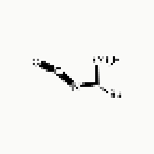 CCC(C)[C@H](N=C=O)C(=O)O